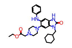 CCOC(=O)CN1CCN(c2cc3c(cc2Nc2ccccc2)[nH]c(=O)n3CC2CCCCC2)CC1